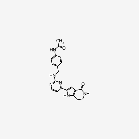 CC(=O)Nc1ccc(CNc2nccc(-c3cc4c([nH]3)CCNC4=O)n2)cc1